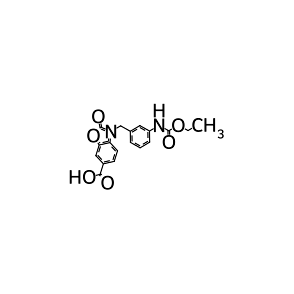 CCOC(=O)Nc1cccc(Cn2c(=O)oc3cc(C(=O)O)ccc32)c1